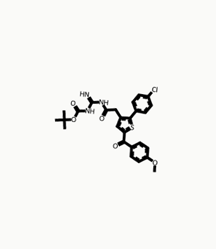 COc1ccc(C(=O)c2cc(CC(=O)NC(=N)NC(=O)OC(C)(C)C)c(-c3ccc(Cl)cc3)s2)cc1